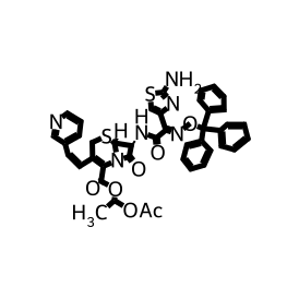 CC(=O)OC(C)OC(=O)C1=C(/C=C\c2cccnc2)CS[C@@H]2[C@H](NC(=O)/C(=N/OC(c3ccccc3)(c3ccccc3)c3ccccc3)c3csc(N)n3)C(=O)N12